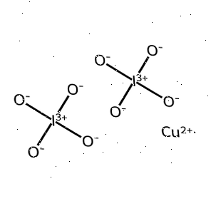 [Cu+2].[O-][I+3]([O-])([O-])[O-].[O-][I+3]([O-])([O-])[O-]